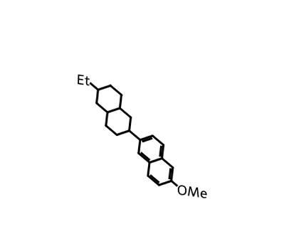 CCC1CCC2CC(c3ccc4cc(OC)ccc4c3)CCC2C1